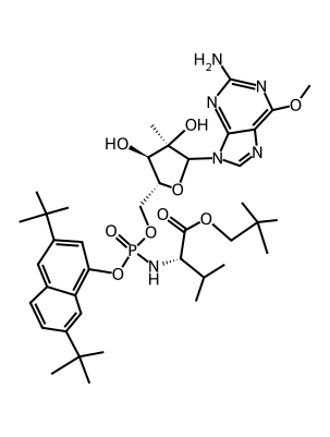 COc1nc(N)nc2c1ncn2C1O[C@H](COP(=O)(N[C@H](C(=O)OCC(C)(C)C)C(C)C)Oc2cc(C(C)(C)C)cc3ccc(C(C)(C)C)cc23)[C@@H](O)[C@@]1(C)O